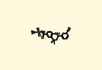 CC1(C)CC(c2cccc(C#N)c2)Nc2ccc(C(=O)NS(=O)(=O)C3CC3)cc21